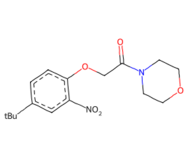 CC(C)(C)c1ccc(OCC(=O)N2CCOCC2)c([N+](=O)[O-])c1